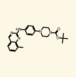 Cc1cccc2cnc(Nc3ccc(N4CCN(C(=O)OC(C)(C)C)CC4)cc3)nc12